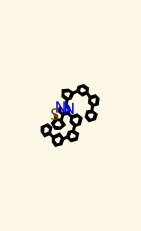 c1ccc(-c2cccc(-c3cccc(-c4cccc(-c5nc(-c6cccc(-c7cccc(-c8cccc(-c9ccccc9)c8)c7)c6)c6c(n5)sc5ccccc56)c4)c3)c2)cc1